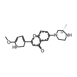 COC1=CC=C(c2cc(=O)c3cc(N4CCN[C@@H](C)C4)ccc3o2)CP1